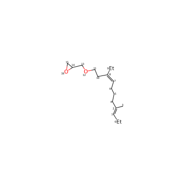 CC/C=C(\C)CCC/C=C(/CC)CCOCC1CO1